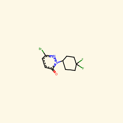 O=c1ccc(Br)nn1C1CCC(F)(F)CC1